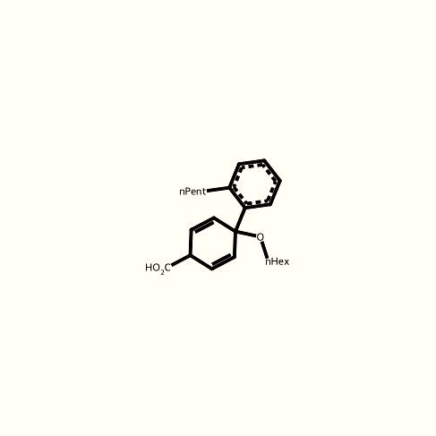 CCCCCCOC1(c2ccccc2CCCCC)C=CC(C(=O)O)C=C1